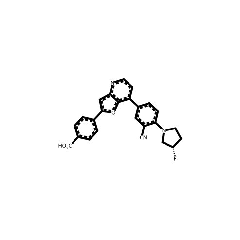 N#Cc1cc(-c2ccnc3cc(-c4ccc(C(=O)O)cc4)oc23)ccc1N1CC[C@H](F)C1